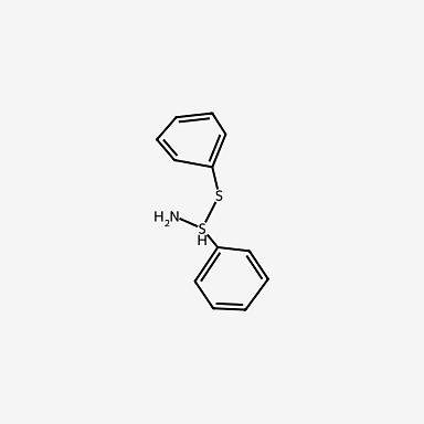 N[SH](Sc1ccccc1)c1ccccc1